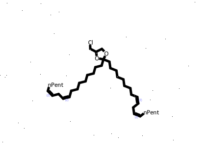 CCCCC/C=C\C/C=C\CCCCCCCCC1(CCCCCCCC/C=C\C/C=C\CCCCC)OCC(CCl)O1